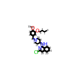 CCCCOc1cc(CN2CCC(Nc3nc(Cl)cc4ccccc34)CC2)ccc1OC